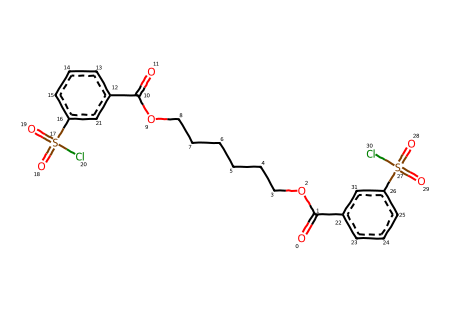 O=C(OCCCCCCOC(=O)c1cccc(S(=O)(=O)Cl)c1)c1cccc(S(=O)(=O)Cl)c1